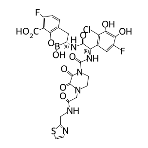 O=C(CN1CCN(C(=O)N[C@@H](C(=O)N[C@H]2Cc3ccc(F)c(C(=O)O)c3OB2O)c2cc(F)c(O)c(O)c2Cl)C(=O)C1=O)NCc1nccs1